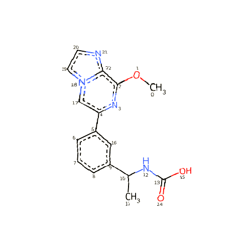 COc1nc(-c2cccc(C(C)NC(=O)O)c2)cn2ccnc12